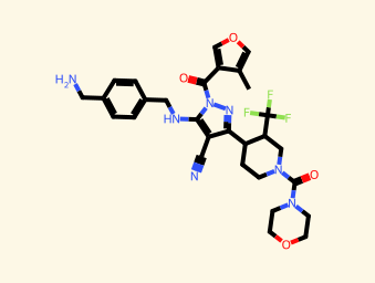 Cc1cocc1C(=O)n1nc(C2CCN(C(=O)N3CCOCC3)CC2C(F)(F)F)c(C#N)c1NCc1ccc(CN)cc1